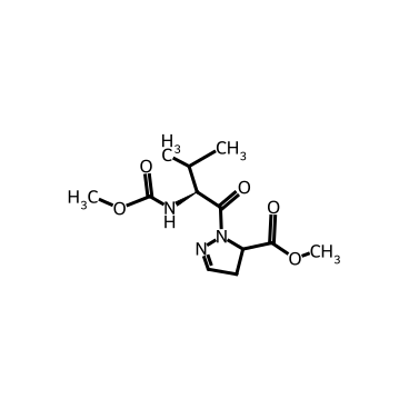 COC(=O)N[C@H](C(=O)N1N=CCC1C(=O)OC)C(C)C